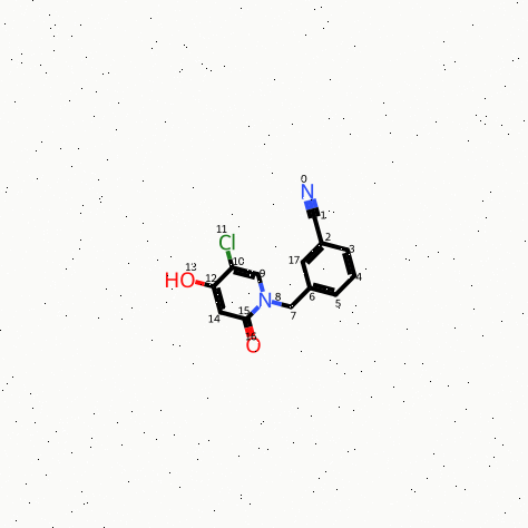 N#Cc1cccc(Cn2cc(Cl)c(O)cc2=O)c1